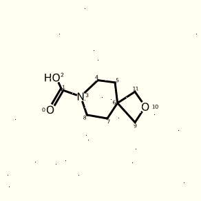 O=C(O)N1CCC2(CC1)COC2